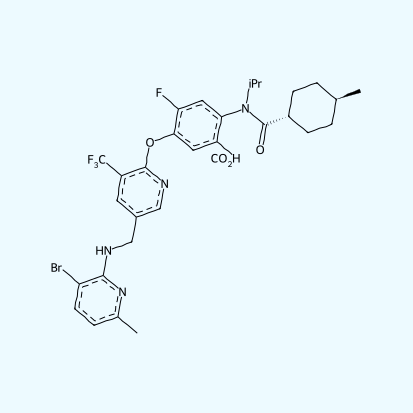 Cc1ccc(Br)c(NCc2cnc(Oc3cc(C(=O)O)c(N(C(=O)[C@H]4CC[C@H](C)CC4)C(C)C)cc3F)c(C(F)(F)F)c2)n1